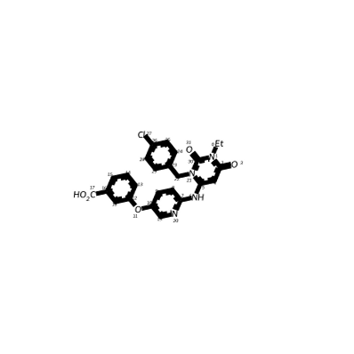 CCn1c(=O)cc(Nc2ccc(Oc3cccc(C(=O)O)c3)cn2)n(Cc2ccc(Cl)cc2)c1=O